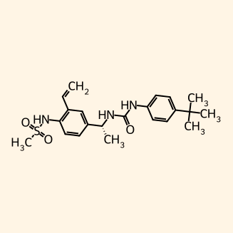 C=Cc1cc([C@@H](C)NC(=O)Nc2ccc(C(C)(C)C)cc2)ccc1NS(C)(=O)=O